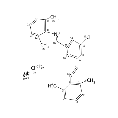 Cc1cccc(C)c1N=Cc1cc(Cl)cc(C=Nc2c(C)cccc2C)n1.[Cl-].[Cl-].[Cl-].[V+3]